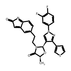 C[C@@H]1O[C@H](c2cn(-c3ccc(F)c(F)c3)nc2-c2ccsc2)N(CCc2ccc3c(c2)=CC(=O)N=3)C1=O